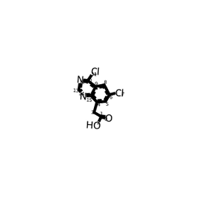 O=C(O)Cc1cc(Cl)cc2c(Cl)ncnc12